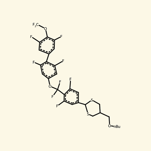 CCCCOCC1CSC(c2cc(F)c(C(F)(F)Oc3cc(F)c(-c4cc(F)c(OC(F)(F)F)c(F)c4)c(F)c3)c(F)c2)SC1